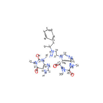 CC(Cc1ccccc1)NCCn1cnc2c1c(=O)n(C)c(=O)n2C.Cn1c(=O)c2c(ncn2C)n(C)c1=O